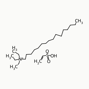 C=CS(=O)(=O)O.CCCCCCCCCCCCCCCC[N+](CC)(CC)CC